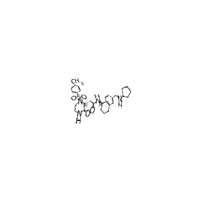 Cc1ccc(S(=O)(=O)N2CCNC(=O)[C@H]2CC(=O)N[C@@H]2CCCc3cc(CNC4CCCC4)ccc32)cc1